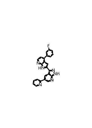 Fc1cccc(-c2ccnc3[nH]c(-c4n[nH]c5ncc(-c6ccccn6)cc45)cc23)c1